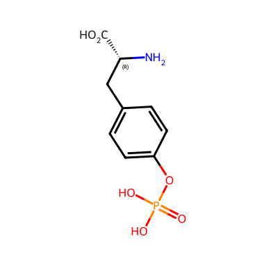 N[C@H](Cc1ccc(OP(=O)(O)O)cc1)C(=O)O